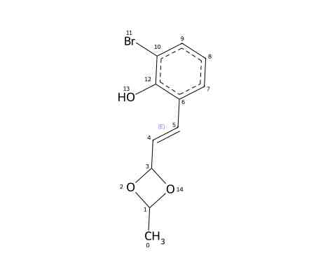 CC1OC(/C=C/c2cccc(Br)c2O)O1